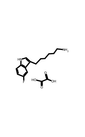 NCCCCCCc1c[nH]c2ccc(F)cc12.O=C(O)C(=O)O